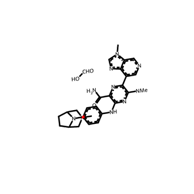 CNc1nc(Nc2ccc(N3C4CCC3CN(C)C4)cc2)c(C(N)=O)nc1-c1cncc2c1ncn2C.O=CO